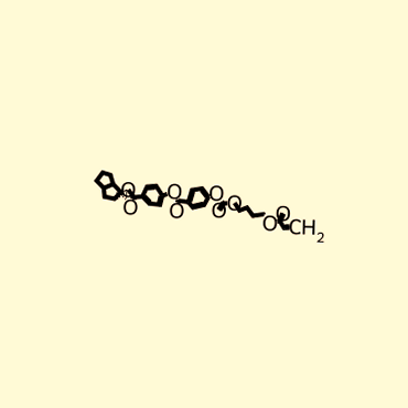 C=CC(=O)OCCCCOC(=O)Oc1ccc(C(=O)Oc2ccc(C(=O)O[C@@H]3CCC4CCCC43)cc2)cc1